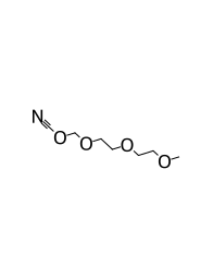 COCCOCCOCOC#N